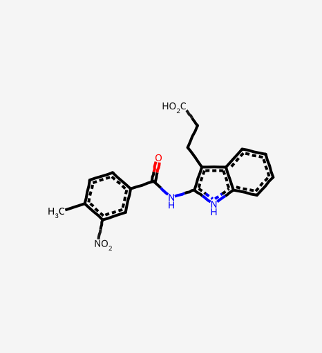 Cc1ccc(C(=O)Nc2[nH]c3ccccc3c2CCC(=O)O)cc1[N+](=O)[O-]